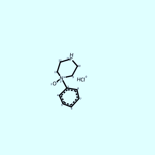 Cl.[O-][N+]1(c2ccccc2)CCPCC1